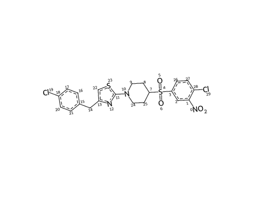 O=[N+]([O-])c1cc(S(=O)(=O)C2CCN(c3nc(Cc4ccc(Cl)cc4)cs3)CC2)ccc1Cl